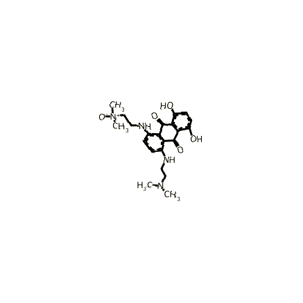 CN(C)CCNc1ccc(NCC[N+](C)(C)[O-])c2c1C(=O)c1c(O)ccc(O)c1C2=O